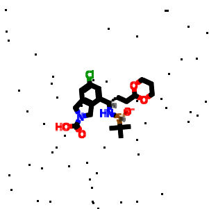 CC(C)(C)[S@+]([O-])N[C@@H](CCC1OCCCO1)c1cc(Cl)cc2c1CN(C(=O)O)C2